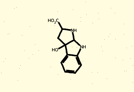 O=C(O)C1CC2(O)c3ccccc3NC2N1